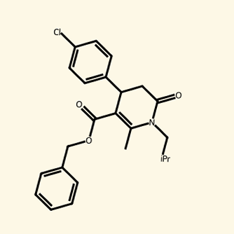 CC1=C(C(=O)OCc2ccccc2)C(c2ccc(Cl)cc2)CC(=O)N1CC(C)C